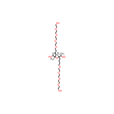 CC(O)C(C)(CCCCOCCOCCOCCOCCO)OC(C)(CCCCOCCOCCOCCOCCO)C(C)O